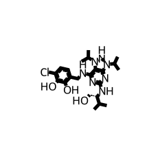 CC(C)[C@H](CO)Nc1nc(NCc2ccc(Cl)c(O)c2O)c2c(n1)N(C(C)C)NN2C(C)C